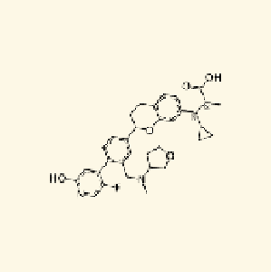 C[C@H](C(=O)O)[C@H](c1ccc2c(c1)OC(c1ccc(-c3cc(O)ncc3F)c(CN(C)C3CCOC3)c1)CC2)C1CC1